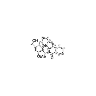 COc1cc(CO)ccc1Cn1c(=O)c2cnccc2c2nc3cnccn3c21